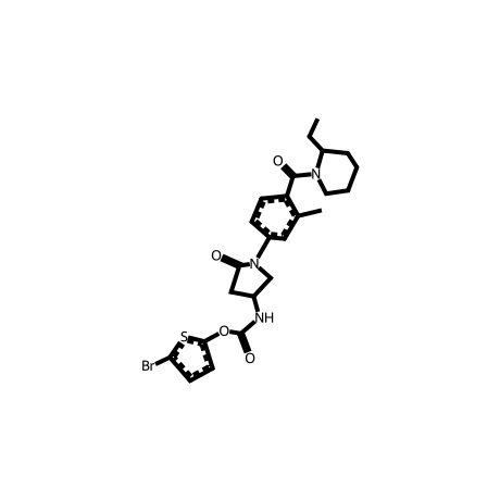 CCC1CCCCN1C(=O)c1ccc(N2CC(NC(=O)Oc3ccc(Br)s3)CC2=O)cc1C